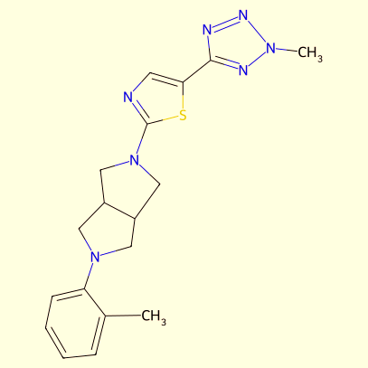 Cc1ccccc1N1CC2CN(c3ncc(-c4nnn(C)n4)s3)CC2C1